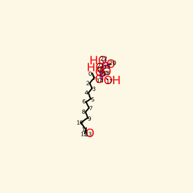 CC(CCCCCCCCCC1CO1)OP(=O)(O)OP(=O)(O)O